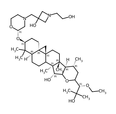 CCO[C@@H](C1C[C@@H](C)[C@H]2C(O1)[C@H](O)[C@@]1(C)C3CC[C@H]4C(C)(C)[C@@H](O[C@H]5CN(CC6(O)CN(CCO)C6)CCO5)CC[C@@]45C[C@@]35CC[C@]21C)C(C)(C)O